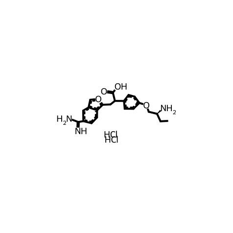 CC[C@H](N)COc1ccc(C(Cc2occ3cc(C(=N)N)ccc23)C(=O)O)cc1.Cl.Cl